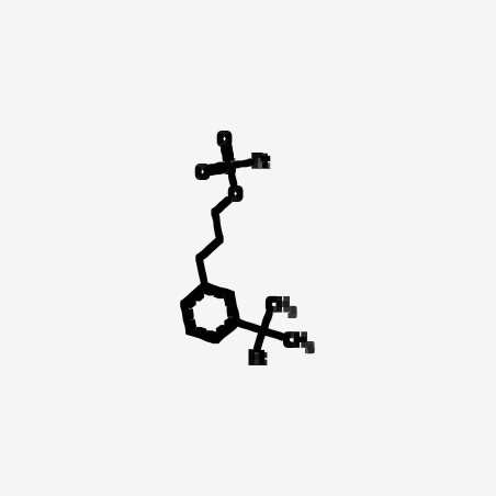 CCC(C)(C)c1cccc(CCCOS(=O)(=O)CC)c1